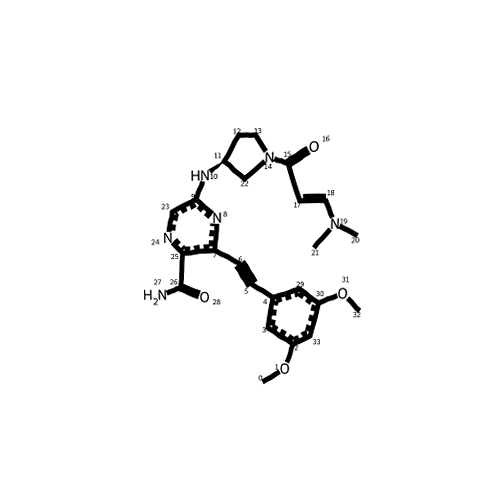 COc1cc(C#Cc2nc(N[C@H]3CCN(C(=O)C=CN(C)C)C3)cnc2C(N)=O)cc(OC)c1